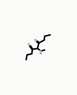 CCCC(=O)C(NC)C(=O)CCC